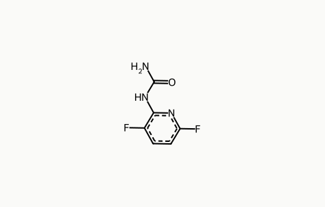 NC(=O)Nc1nc(F)ccc1F